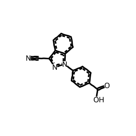 N#Cc1nn(-c2ccc(C(=O)O)cc2)c2ccccc12